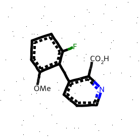 COc1cccc(F)c1-c1cccnc1C(=O)O